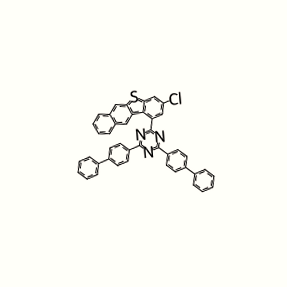 Clc1cc(-c2nc(-c3ccc(-c4ccccc4)cc3)nc(-c3ccc(-c4ccccc4)cc3)n2)c2c(c1)sc1cc3ccccc3cc12